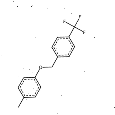 Cc1ccc(OCc2ccc(C(F)(F)F)cc2)cc1